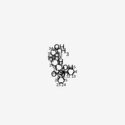 C[C@]12CC[C@@H]3C4=CC(O)(C(=O)c5ccccc5)C(O)(C(=O)c5ccccc5)C=C4CC[C@H]3[C@@H]1CC[C@@H]2O